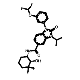 CC(C)n1c(=O)n(-c2cccc(OC(F)F)c2)c2ccc(C(=O)N[C@H]3CCCC(F)(F)[C@@H]3O)cc21